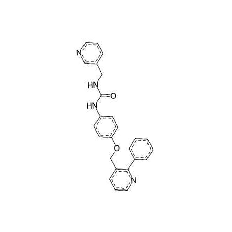 O=C(NCc1cccnc1)Nc1ccc(OCc2cccnc2-c2ccccc2)cc1